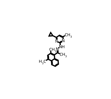 CC(=NNc1nc(C)cc(C2CC2)n1)c1c(C)cc(C)c2ccccc12